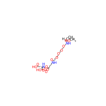 CC(C)(C)OC(=O)NCCOCCOCCOCCOCCC(=O)NCCCC[C@@H](OC=O)OC(=O)N[C@@H](CCC(=O)O)C(=O)O